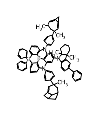 CC1C=C2CC2=CC(C)(c2ccc(N3c4cc(N5c6ccc(-c7ccccc7)cc6C6(C)CCCCC56C)cc5c4B4c6c3cccc6[Si](c3ccccc3)(c3ccccc3)c3cccc(c34)N5c3ccc(C4(C)C=C5CC6CC(C4)C56)cc3)cc2)C1